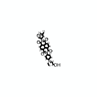 CCN(CCO)c1ccc(N2C(=O)c3ccc4c5c(ccc(c35)C2=O)C(=O)N(C(CO)CC(C)C)C4=O)cc1